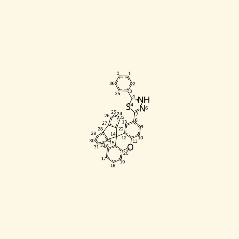 c1ccc(C2NN=C(c3ccc4c(c3)C3(c5ccccc5O4)c4ccccc4-c4ccccc43)S2)cc1